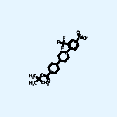 CC(C)(C)OC(=O)N1CCC(C2CCN(c3ccc([N+](=O)[O-])cc3C(F)(F)F)CC2)CC1